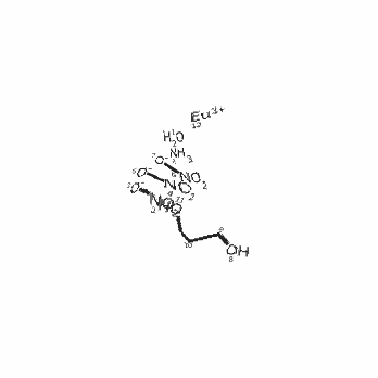 N.O.O=[N+]([O-])[O-].O=[N+]([O-])[O-].O=[N+]([O-])[O-].OCCO.[Eu+3]